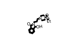 CCOP1(=O)CCN(CCCN2C(=O)c3ccccc3C2O)CC1